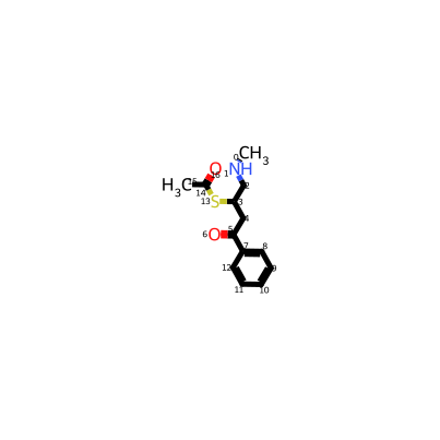 CNCC(CC(=O)c1ccccc1)SC(C)=O